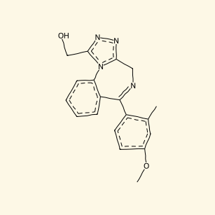 COc1ccc(C2=NCc3nnc(CO)n3-c3ccccc32)c(C)c1